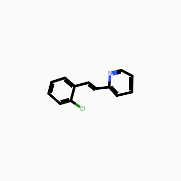 Clc1ccccc1C=Cc1ccccn1